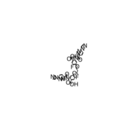 CC(CCOc1cc(NC(=O)c2ccc(-n3ccnc3)nn2)c(C(=O)O)cc1F)Oc1cc(NC(=O)c2ccc(-n3ccnc3)nn2)c(C(=O)O)cc1F